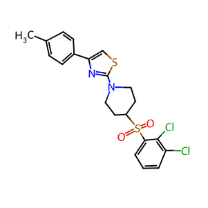 Cc1ccc(-c2csc(N3CCC(S(=O)(=O)c4cccc(Cl)c4Cl)CC3)n2)cc1